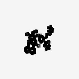 CC(C)(C)OC(=O)N1CC[C@H](Nc2c(C=O)c(Cl)nc3c(F)c(-c4cccc5cccc(C#N)c45)c(Cl)cc23)C[C@H]1CCO[Si](C)(C)C(C)(C)C